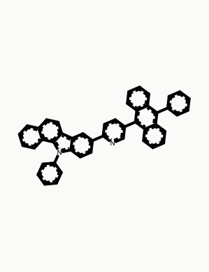 c1ccc(-c2c3ccccc3c(-c3ccc(-c4ccc5c(c4)c4ccc6ccccc6c4n5-c4ccccc4)nc3)c3ccccc23)cc1